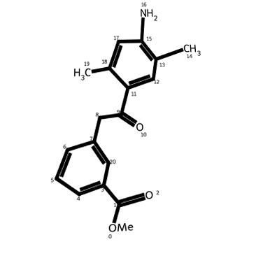 COC(=O)c1cccc(CC(=O)c2cc(C)c(N)cc2C)c1